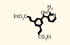 CCOC(=O)C=Cc1cc(C=CC(=O)OCC)cc(C(O)c2cccnc2C)c1